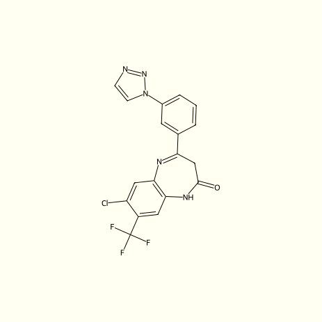 O=C1CC(c2cccc(-n3ccnn3)c2)=Nc2cc(Cl)c(C(F)(F)F)cc2N1